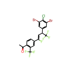 CC(=O)c1ccc(/C(F)=C/C(c2cc(Br)c(Cl)c(Br)c2)C(F)(F)F)cc1C(F)(F)F